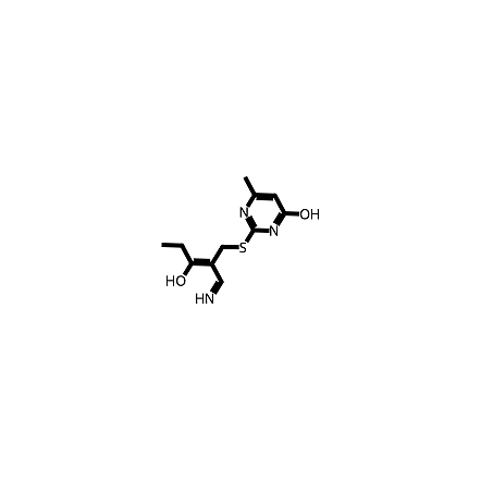 CC/C(O)=C(/C=N)CSc1nc(C)cc(O)n1